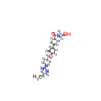 CCc1cnc(N2CCC(COc3ccc(C4=CCC(C(=O)N5CC(O)C5)CC4)cc3F)CC2)nc1